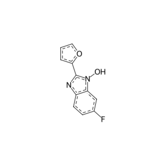 On1c(-c2ccco2)nc2ccc(F)cc21